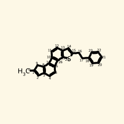 CC1=Cc2ccc3c(c2C1)-c1ccc2cc(CCc4ccccc4)sc2c1-3